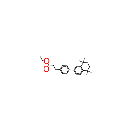 CCOC(=O)CCc1ccc(-c2ccc3c(c2)C(C)(C)CCC3(C)C)cc1